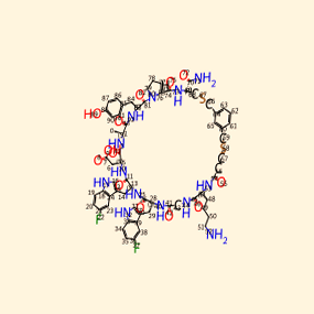 C[C@@H]1NC(=O)[C@H](CC(=O)O)NC(=O)[C@H](Cc2c[nH]c3ccc(F)cc23)NC(=O)[C@H](Cc2c[nH]c3ccc(F)cc23)NC(=O)CNC(=O)[C@H](CCCCN)NC(=O)CCSCc2cccc(c2)CSC[C@@H](C(N)=O)NC(=O)[C@@H]2CCCN2C(=O)[C@H](Cc2ccc(O)cc2)NC1=O